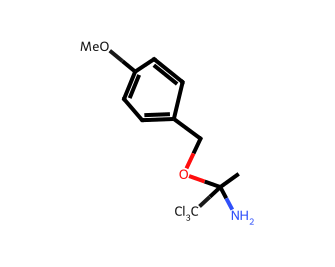 COc1ccc(COC(C)(N)C(Cl)(Cl)Cl)cc1